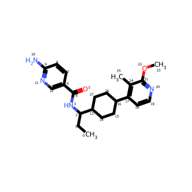 CCC(NC(=O)c1ccc(N)nc1)C1CCC(c2ccnc(OC)c2C)CC1